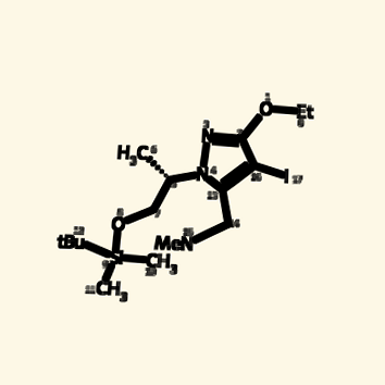 CCOc1nn([C@@H](C)CO[Si](C)(C)C(C)(C)C)c(CNC)c1I